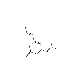 C=C(CCC=C(C)C)CC(=O)C(C)=CC